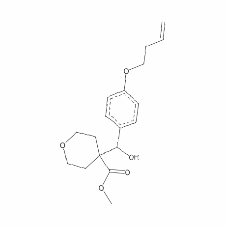 C=CCCOc1ccc(C(O)C2(C(=O)OC)CCOCC2)cc1